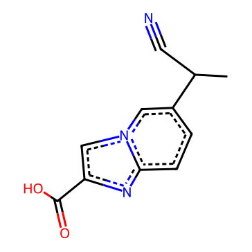 CC(C#N)c1ccc2nc(C(=O)O)cn2c1